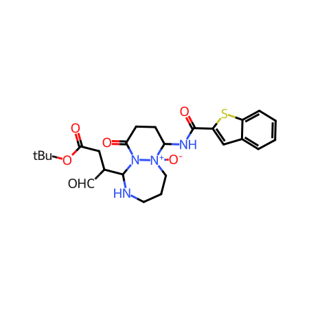 CC(C)(C)OC(=O)CC(C=O)C1NCCC[N+]2([O-])C(NC(=O)c3cc4ccccc4s3)CCC(=O)N12